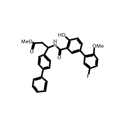 COC(=O)CC(NC(=O)c1cc(-c2cc(F)ccc2OC)ccc1O)c1ccc(-c2ccccc2)cc1